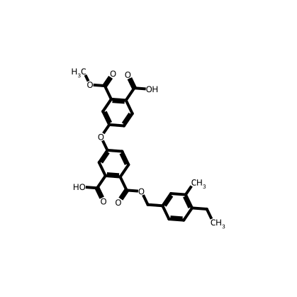 CCc1ccc(COC(=O)c2ccc(Oc3ccc(C(=O)O)c(C(=O)OC)c3)cc2C(=O)O)cc1C